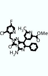 COC(=O)c1cc(-c2c(-c3ccccc3)nc(N)n3c(=O)n(Cc4ncc(F)cc4Cl)nc23)cc(C)n1